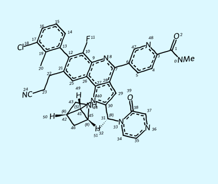 CNC(=O)c1ccc(-c2nc3c(F)c(-c4cccc(Cl)c4C)c(CCC#N)cc3c3c2cc([C@@H](C)n2ccncc2=O)n3[C@H]2[C@H]3CN[C@@H]2C3)cn1